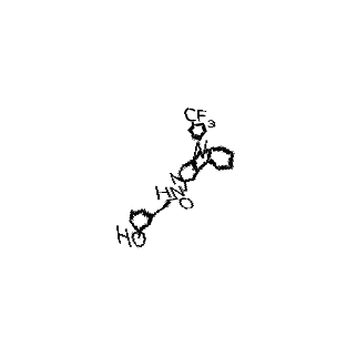 O=C(/C=C/c1cccc(O)c1)NCc1cc2c3ccccc3n(-c3ccc(C(F)(F)F)cc3)c2cn1